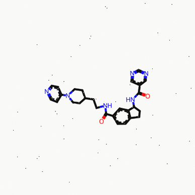 O=C(NCCC1CCN(c2ccncc2)CC1)c1ccc2c(c1)C(NC(=O)c1cncnc1)CC2